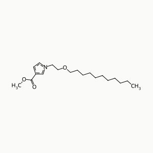 CCCCCCCCCCCOCCn1ccc(C(=O)OC)c1